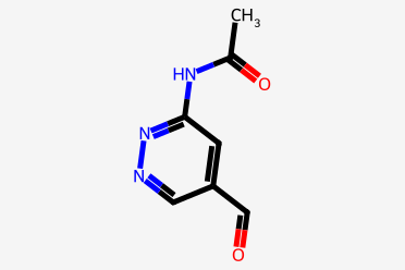 CC(=O)Nc1cc(C=O)cnn1